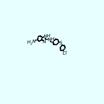 Nc1ccc2[nH]c(NCc3ccc(Sc4ccc(Cl)cc4)cc3)nc2c1